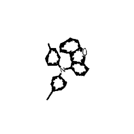 Cc1ccc(N(c2ccc(C)cc2)c2cccc3oc4ccccc4c23)cc1